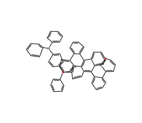 c1ccc(N(c2ccccc2)c2ccc(N(c3ccccc3)c3ccc4c(-c5ccccc5-c5ccccn5)c5ccccc5c(-c5ccccc5-c5ccccn5)c4c3)cc2)cc1